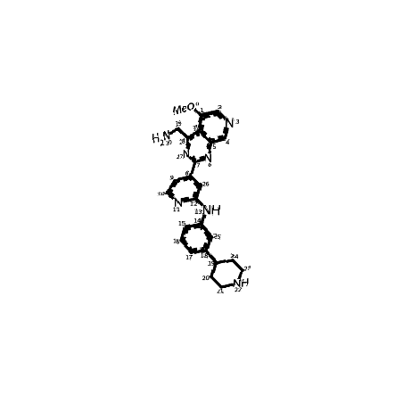 COc1cncc2nc(-c3ccnc(Nc4cccc(C5CCNCC5)c4)c3)nc(CN)c12